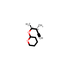 C#C[C@@H](C)[C@H](C)OC1CCCCO1